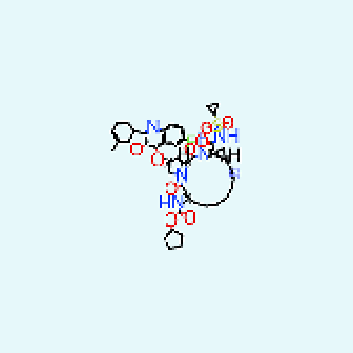 CC1=CC=CC2c3nc4ccc(F)cc4c(O[C@@H]4C[C@H]5C(=O)N[C@]6(C(=O)NS(=O)(=O)C7CC7)C[C@H]6/C=C\CCCCC[C@H](NC(=O)OC6CCCC6)C(=O)N5C4)c3OC12